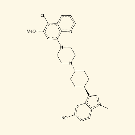 COc1cc(N2CCN([C@H]3CC[C@H](c4cn(C)c5ccc(C#N)cc54)CC3)CC2)c2ncccc2c1Cl